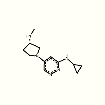 CN[C@H]1CCN(c2cnnc(NC3CC3)c2)C1